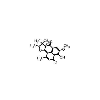 COc1cc2c3c(c1O)C(=O)C=C(C)C3=C1OC(C)C(C)(C)C1(O)C2=O